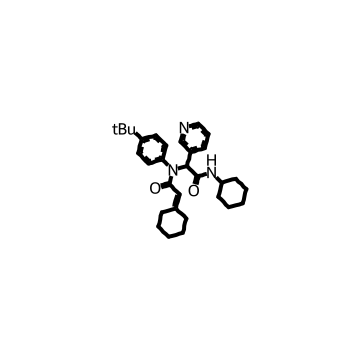 CC(C)(C)c1ccc(N(C(=O)C=C2CCCCC2)C(C(=O)NC2CCCCC2)c2cccnc2)cc1